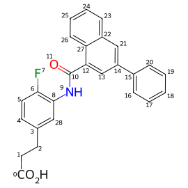 O=C(O)CCc1ccc(F)c(NC(=O)c2cc(-c3ccccc3)cc3ccccc23)c1